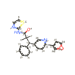 CC(C)(C(=O)Nc1nccs1)C(c1ccccc1)c1ccc(-c2ccoc2)nc1